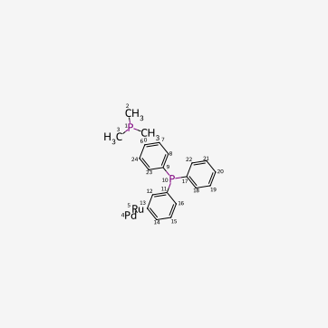 CP(C)C.[Pd].[Ru].c1ccc(P(c2ccccc2)c2ccccc2)cc1